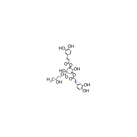 CC(O)CCOC(=O)[C@]1(O)C[C@@H](OC(=O)/C=C/c2ccc(O)c(O)c2)[C@@H](O)[C@H](OC(=O)/C=C/c2ccc(O)c(O)c2)C1